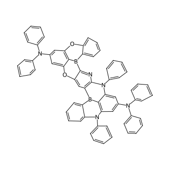 c1ccc(N(c2ccccc2)c2cc3c4c(c2)Oc2cc5c(nc2B4c2ccccc2O3)N(c2ccccc2)c2cc(N(c3ccccc3)c3ccccc3)cc3c2B5c2ccccc2N3c2ccccc2)cc1